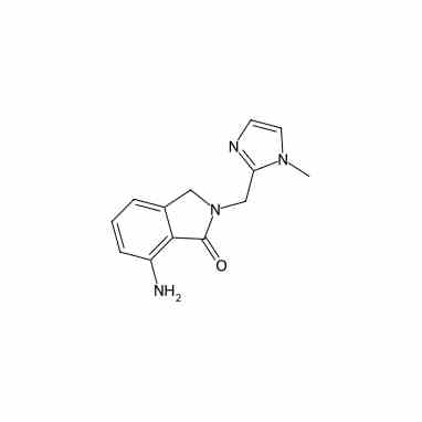 Cn1ccnc1CN1Cc2cccc(N)c2C1=O